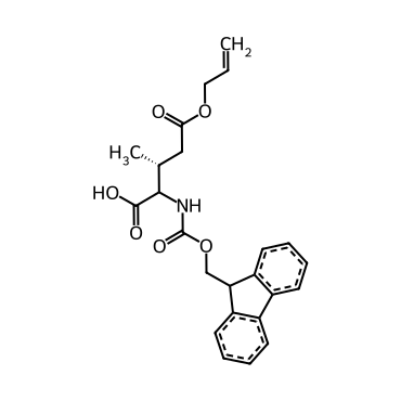 C=CCOC(=O)C[C@@H](C)C(NC(=O)OCC1c2ccccc2-c2ccccc21)C(=O)O